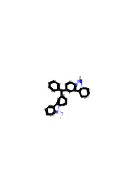 CCn1c2c(c3cc(C(c4ccccc4)c4ccc5c(c4)c4ccccc4n5CC)ccc31)CCC=C2